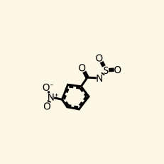 O=C(N=S(=O)=O)c1cccc([N+](=O)[O-])c1